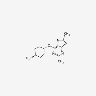 Cc1nc(O[C@H]2CC[C@H](C)CC2)c2nc(C)sc2n1